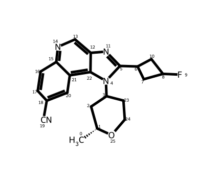 C[C@@H]1CC(n2c(C3CC(F)C3)nc3cnc4ccc(C#N)cc4c32)CCO1